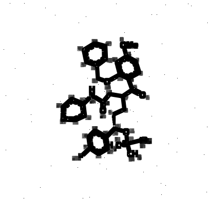 COc1ccc(C(=O)C(CC[C@H](O[Si](C)(C)C(C)(C)C)c2ccc(F)cc2)CC(=O)Nc2ccccc2)c(OCc2ccccc2)c1